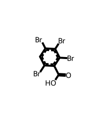 O=C(O)c1c(Br)cc(Br)c(Br)c1Br